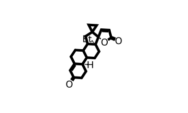 CC[C@]12CCC3C(CCC4=CC(=O)CC[C@@H]43)C1CC1(CC1)[C@@]21C=CC(=O)O1